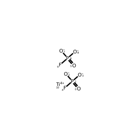 O=P([O-])([O-])F.O=P([O-])([O-])F.[Ti+4]